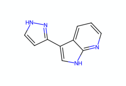 c1cnc2[nH]cc(-c3cc[nH]n3)c2c1